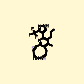 CCCc1c(-c2c[nH]nc2C(F)(F)F)nc2c(c1C)C/C=N\NC/C=C\2